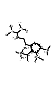 CCN(CC)C([SiH2]CCc1ccc([SiH](C)C)c([SiH](C)C)c1C(C)[Si](C)(OC)OC)N(CC)CC